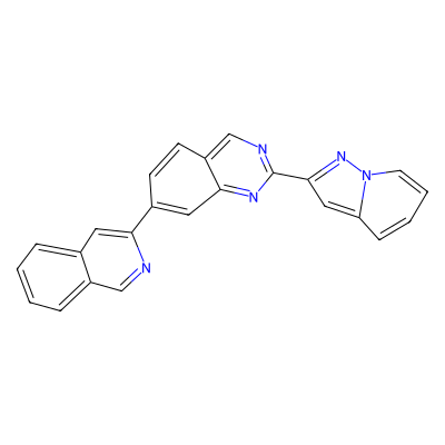 c1ccc2cc(-c3ccc4cnc(-c5cc6ccccn6n5)nc4c3)ncc2c1